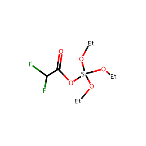 CCO[Si](OCC)(OCC)OC(=O)C(F)F